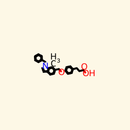 Cc1c(COc2ccc(CCC(=O)O)cc2)ccc2ccn(Cc3ccccc3)c12